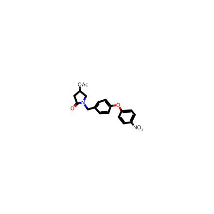 CC(=O)OC1CC(=O)N(Cc2ccc(Oc3ccc([N+](=O)[O-])cc3)cc2)C1